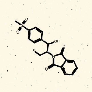 CS(=O)(=O)c1ccc(C(O)C(CF)N2C(=O)c3ccccc3C2=O)cc1